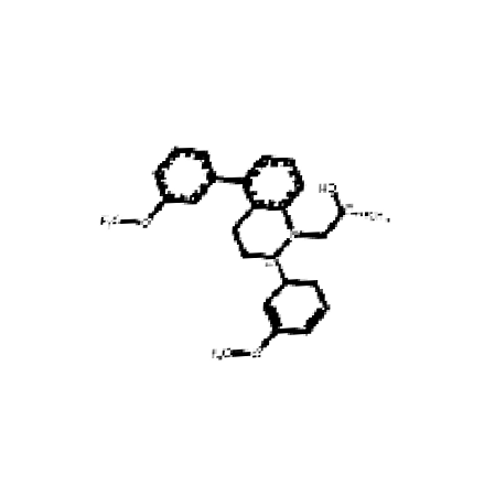 C[C@@H](O)CN1c2cccc(-c3cccc(OC(F)(F)F)c3)c2CC[C@@H]1C1C=C(OC(F)(F)F)C=CC1